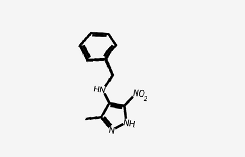 Cc1n[nH]c([N+](=O)[O-])c1NCc1ccccc1